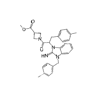 COC(=O)C1CN(C(=O)C(Cc2ccc(C)cc2)n2c(=N)n(Cc3ccc(C)cc3)c3ccccc32)C1